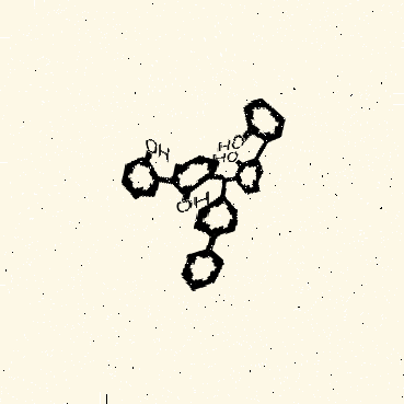 Oc1ccccc1-c1cccc(C(c2ccc(-c3ccccc3)cc2)c2cccc(-c3ccccc3O)c2O)c1O